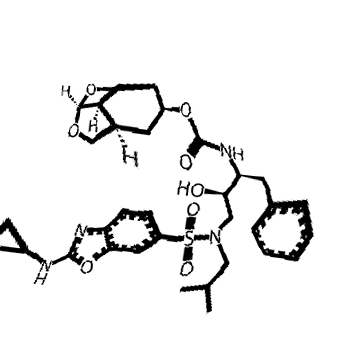 CC(C)CN(C[C@@H](O)[C@H](Cc1ccccc1)NC(=O)O[C@H]1C[C@H]2CO[C@H]3OC1C[C@@H]23)S(=O)(=O)c1ccc2nc(NC3CC3)oc2c1